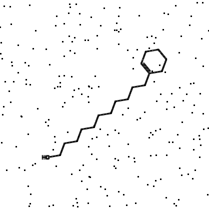 OCCCCCCCCCCCC1=CCCCC1